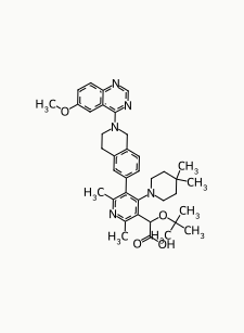 COc1ccc2ncnc(N3CCc4cc(-c5c(C)nc(C)c(C(OC(C)(C)C)C(=O)O)c5N5CCC(C)(C)CC5)ccc4C3)c2c1